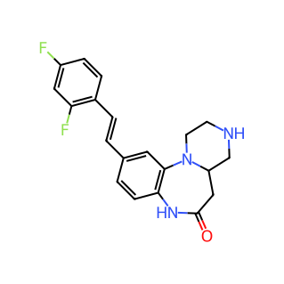 O=C1CC2CNCCN2c2cc(C=Cc3ccc(F)cc3F)ccc2N1